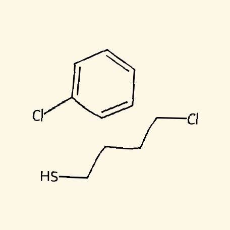 Clc1ccccc1.SCCCCCl